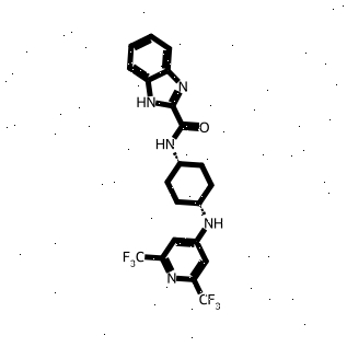 O=C(N[C@H]1CC[C@@H](Nc2cc(C(F)(F)F)nc(C(F)(F)F)c2)CC1)c1nc2ccccc2[nH]1